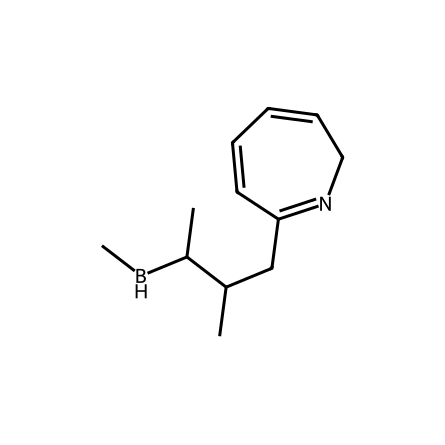 CBC(C)C(C)CC1=NCC=CC=C1